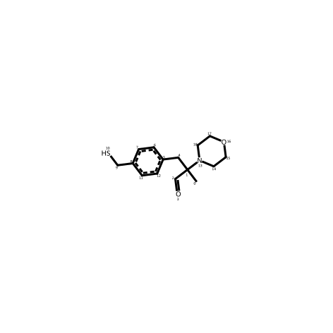 CC(C=O)(Cc1ccc(CS)cc1)N1CCOCC1